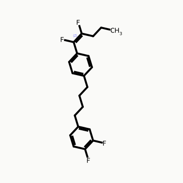 CCC/C(F)=C(/F)c1ccc(CCCCc2ccc(F)c(F)c2)cc1